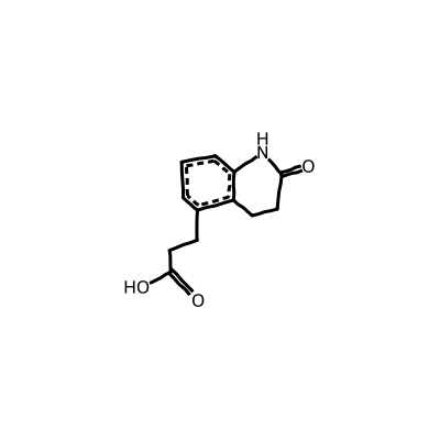 O=C(O)CCc1cccc2c1CCC(=O)N2